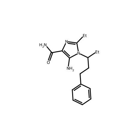 CCc1nc(C(N)=O)c(N)n1C(CC)CCc1ccccc1